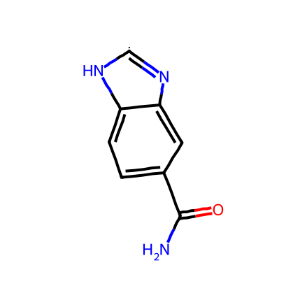 NC(=O)c1ccc2[nH][c]nc2c1